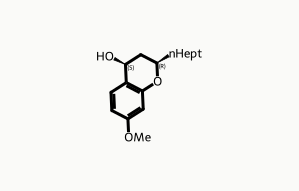 CCCCCCC[C@@H]1C[C@H](O)c2ccc(OC)cc2O1